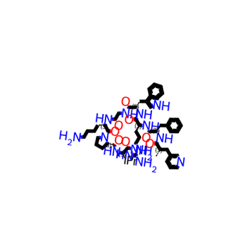 CC(C)[C@H](NC(=O)[C@@H]1CCCN1C(=O)[C@H](CCCCN)NC(=O)CNC(=O)[C@H](Cc1c[nH]c2ccccc12)NC(=O)[C@H](CCCNC(=N)N)NC(=O)[C@@H](Cc1ccccc1)NC(=O)[C@@H](C)Cc1cccnc1)C(N)=O